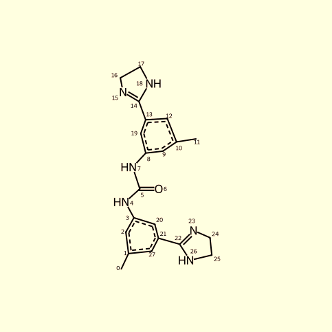 Cc1cc(NC(=O)Nc2cc(C)cc(C3=NCCN3)c2)cc(C2=NCCN2)c1